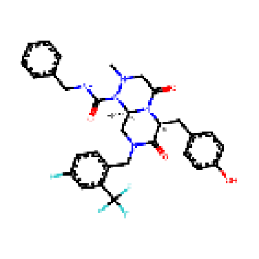 CN1CC(=O)N2[C@@H](CN(Cc3ccc(F)cc3C(F)(F)F)C(=O)[C@@H]2Cc2ccc(O)cc2)N1C(=O)NCc1ccccc1